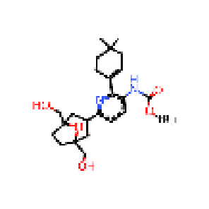 CC1(C)CC=C(c2nc(C3CC4(CO)CCC(CO)(C3)O4)ccc2NC(=O)OC(C)(C)C)CC1